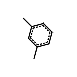 Cc1[c][c]cc(C)c1